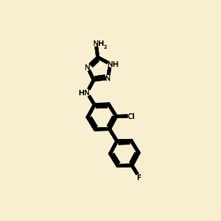 Nc1nc(Nc2ccc(-c3ccc(F)cc3)c(Cl)c2)n[nH]1